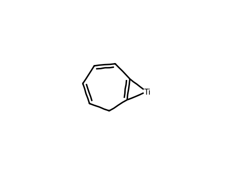 C1=CC[C]2=[C](C=C1)[Ti]2